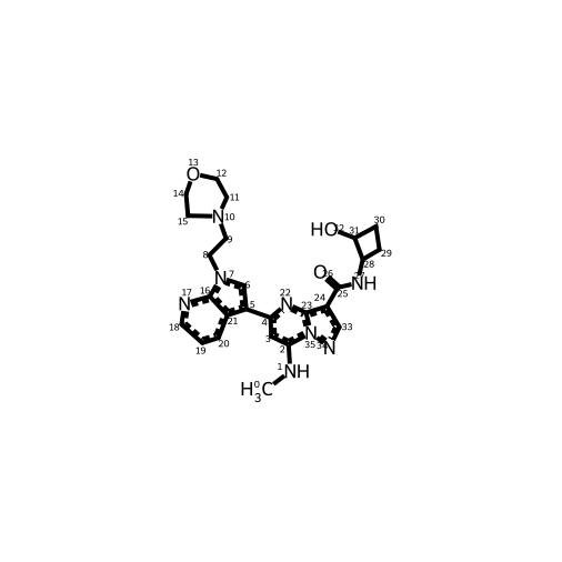 CNc1cc(-c2cn(CCN3CCOCC3)c3ncccc23)nc2c(C(=O)NC3CCC3O)cnn12